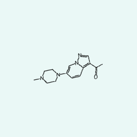 CC(=O)c1cnn2cc(N3CCN(C)CC3)ccc12